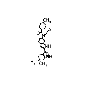 CC1CCC(C(=O)N(CCS)c2ccc3cc(-c4n[nH]c5c4CCC(C)(C)C5)[nH]c3c2)CC1